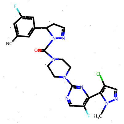 Cn1ncc(Cl)c1-c1nc(N2CCN(C(=O)N3N=CCC3c3cc(F)cc(C#N)c3)CC2)ncc1F